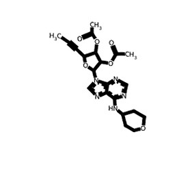 CC#CC1OC(n2cnc3c(NC4CCOCC4)ncnc32)C(OC(C)=O)C1OC(C)=O